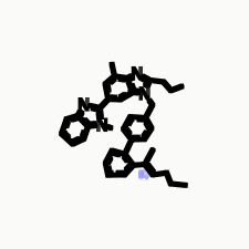 CCC/C=C(\C)c1ccccc1-c1ccc(Cn2c(CCC)nc3c(C)cc(-c4nc5ccccc5n4C)cc32)cc1